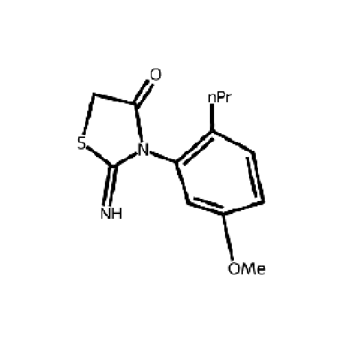 CCCc1ccc(OC)cc1N1C(=N)SCC1=O